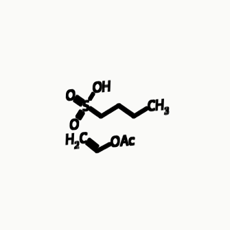 C=COC(C)=O.CCCCS(=O)(=O)O